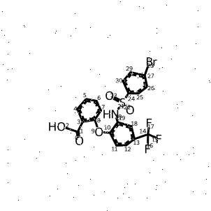 O=C(O)c1ccccc1Oc1ccc(C(F)(F)F)cc1NS(=O)(=O)c1ccc(Br)cc1